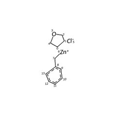 C1CCOC1.[Cl-].[Zn+][CH2]c1ccccc1